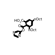 CCCCCCCCc1cc(CCCCCCCC)c(C(=O)Oc2cnccn2)c(C(=O)O)c1